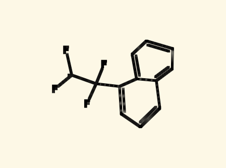 F[C](F)C(F)(F)c1cccc2ccccc12